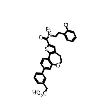 CCN(CCc1ccccc1Cl)C(=O)c1cc2c(s1)-c1ccc(-c3cccc(CC(=O)O)c3)cc1OCC2